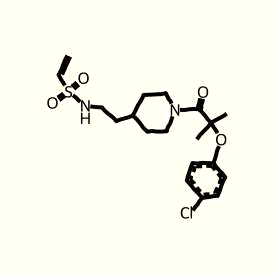 C=CS(=O)(=O)NCCC1CCN(C(=O)C(C)(C)Oc2ccc(Cl)cc2)CC1